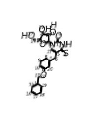 O=c1[nH]c(=S)c(Cc2cccc(OCc3ccccc3)c2)cn1[C@@H]1O[C@H](CO)[C@@H](O)[C@H]1O